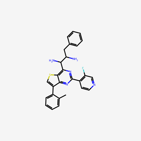 Cc1ccccc1-c1csc2c(C(N)C(N)Cc3ccccc3)nc(-c3ccncc3F)nc12